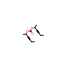 CCC#CC(C)OC(=O)OC(C)C#CCC